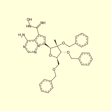 C[C@@]1(OCc2ccccc2)[C@H](OCc2ccccc2)[C@@H](COCc2ccccc2)O[C@H]1c1cc(C(=N)NO)c2c(N)ncnn12